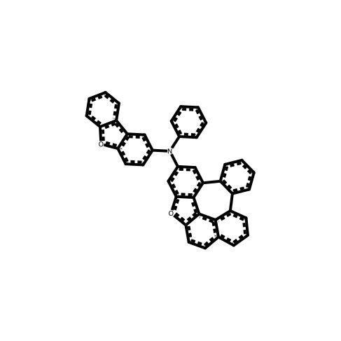 c1ccc(N(c2cc3c4c(c2)oc2ccc5cccc(c5c24)-c2ccccc2-3)c2ccc3oc4ccccc4c3c2)cc1